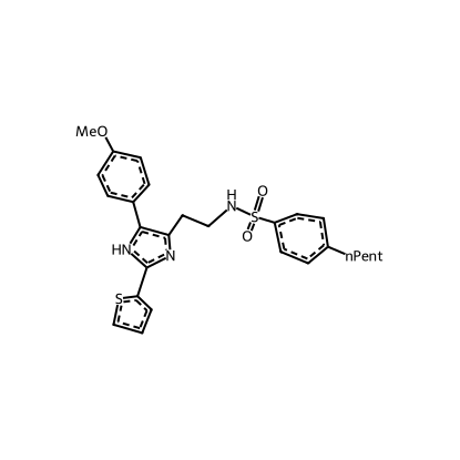 CCCCCc1ccc(S(=O)(=O)NCCc2nc(-c3cccs3)[nH]c2-c2ccc(OC)cc2)cc1